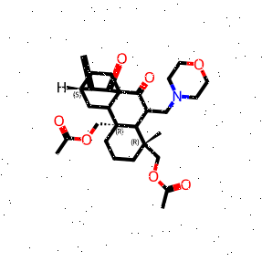 C=C1C(=O)C23CC[C@H]1CC2[C@]1(COC(C)=O)CCC[C@@](C)(COC(C)=O)C1C(CN1CCOCC1)C3=O